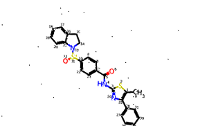 Cc1sc(NC(=O)c2ccc([S+]([O-])N3CCc4ccccc43)cc2)nc1-c1ccccc1